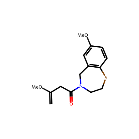 C=C(CC(=O)N1CCSc2ccc(OC)cc2C1)OC